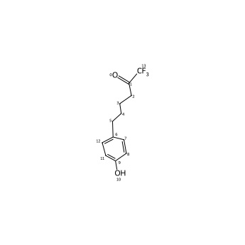 O=C(CCCCc1ccc(O)cc1)C(F)(F)F